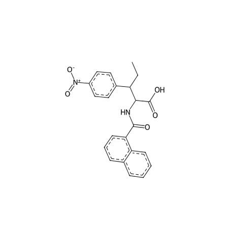 CCC(c1ccc([N+](=O)[O-])cc1)C(NC(=O)c1cccc2ccccc12)C(=O)O